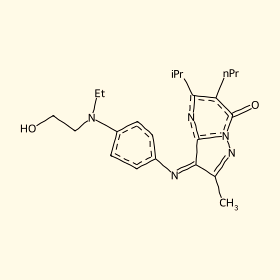 CCCc1c(C(C)C)nc2n(c1=O)N=C(C)C2=Nc1ccc(N(CC)CCO)cc1